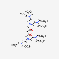 O=C(O)CN(CCN(CCN(CC(=O)O)CC(=O)O)CC(=O)CC(=O)CN(CCN(CC(=O)O)CC(=O)O)CCN(CC(=O)O)CC(=O)O)CC(=O)O